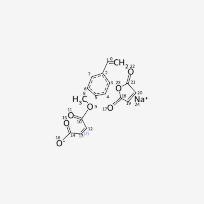 C=Cc1ccccc1.COC(=O)/C=C\C(=O)[O-].O=C1C=CC(=O)O1.[Na+]